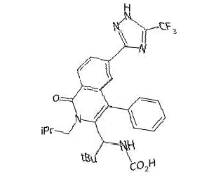 CC(C)Cn1c(C(NC(=O)O)C(C)(C)C)c(-c2ccccc2)c2cc(-c3n[nH]c(C(F)(F)F)n3)ccc2c1=O